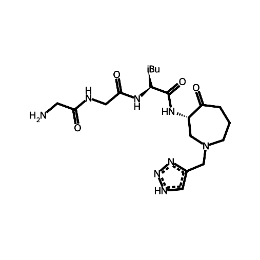 CC[C@H](C)[C@H](NC(=O)CNC(=O)CN)C(=O)N[C@H]1CN(Cc2c[nH]nn2)CCCC1=O